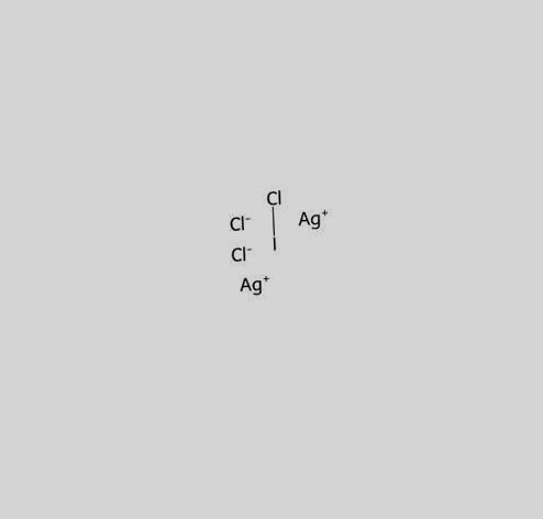 ClI.[Ag+].[Ag+].[Cl-].[Cl-]